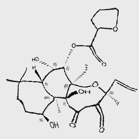 C=C[C@]1(C)O[C@]2(C)[C@@H](OC(=O)C3CCCO3)[C@@H](O)[C@H]3C(C)(C)CC[C@H](O)[C@]3(C)[C@@]2(O)C(=O)C1=O